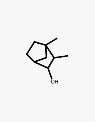 CC1C(O)C2CCC1(C)C2